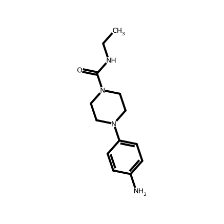 CCNC(=O)N1CCN(c2ccc(N)cc2)CC1